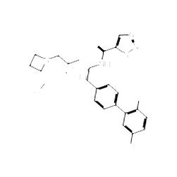 CCOC(=O)[C@@H](C[C@@H](Cc1ccc(-c2cc(Cl)ccc2F)cc1)NC(=O)c1cnn[nH]1)CN1CC[C@H]1CO